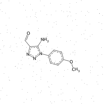 COc1ccc(-n2nnc(C=O)c2N)cc1